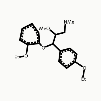 CCOc1ccc(C(Oc2ccccc2OCC)C(CNC)OC)cc1